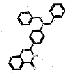 O=c1[nH]c(-c2ccc(N(Cc3ccccc3)Cc3ccccc3)cc2)nc2ccccc12